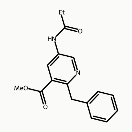 CCC(=O)Nc1cnc(Cc2ccccc2)c(C(=O)OC)c1